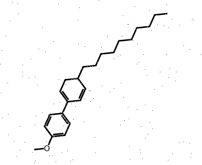 CCCCCCCCCCC1C=CC(c2ccc(OC)cc2)=CC1